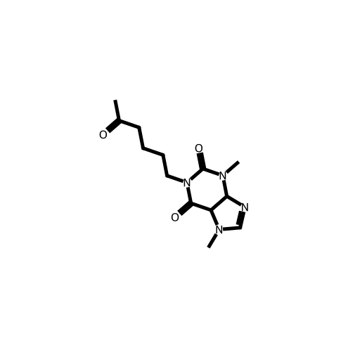 CC(=O)CCCCN1C(=O)C2C(N=CN2C)N(C)C1=O